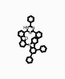 c1ccc(C2=NC(c3cccc4c3oc3c(-n5c6ccccc6c6c(-c7ccccc7)cc(-c7ccccc7)cc65)cccc34)NC(c3ccccc3)=N2)cc1